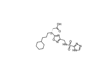 O=C(O)C[C@@H](CCCC1CCCCC1)c1nc(CNS(=O)(=O)c2nnc[nH]2)no1